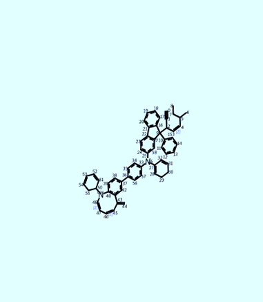 C#CC(/C=C\C(C)CC)C1(c2ccccc2)c2ccccc2-c2ccc(N(C3=CCCC=C3)c3ccc(-c4ccc5c(c4)C(=C)/C=C\C=C/N5C4C=CC=CC4)cc3)cc21